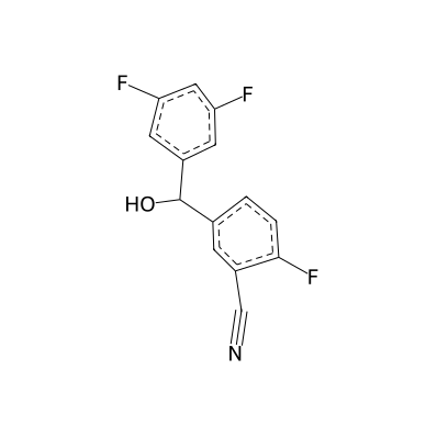 N#Cc1cc(C(O)c2cc(F)cc(F)c2)ccc1F